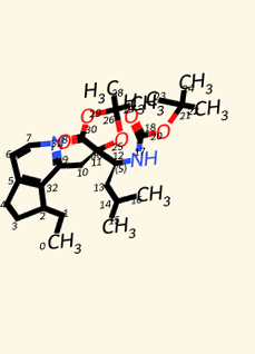 CCC1CCc2ccnc(C[C@]3([C@H](CC(C)C)NC(=O)OC(C)(C)C)OC(C)(C)OC3=O)c21